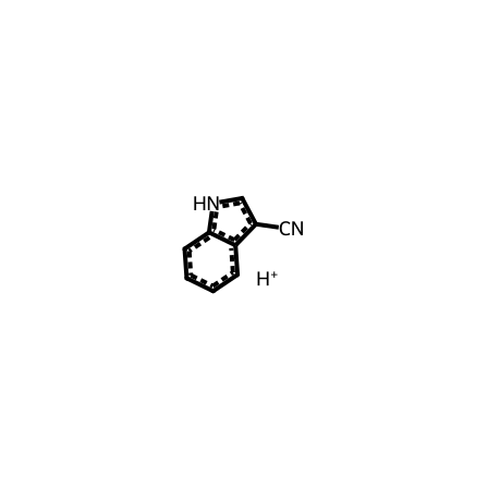 N#Cc1c[nH]c2ccccc12.[H+]